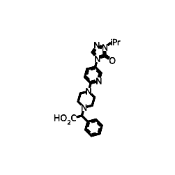 CC(C)n1ncn(-c2ccc(N3CCN(C(C(=O)O)c4ccccc4)CC3)nc2)c1=O